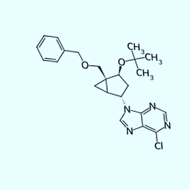 CC(C)(C)O[C@H]1C[C@H](n2cnc3c(Cl)ncnc32)C2C[C@@]21COCc1ccccc1